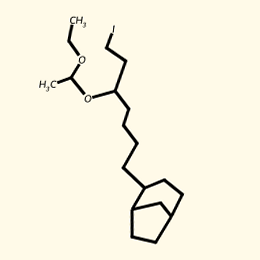 CCOC(C)OC(CCI)CCCCC1CCC2CCC1C2